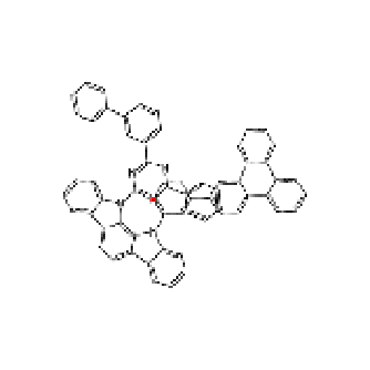 c1ccc(-c2cccc(-c3nc(-c4ccccc4)nc(-n4c5ccccc5c5ccc6c7ccccc7n(-c7cccc(-c8ccc9c%10ccccc%10c%10ccccc%10c9c8)c7)c6c54)n3)c2)cc1